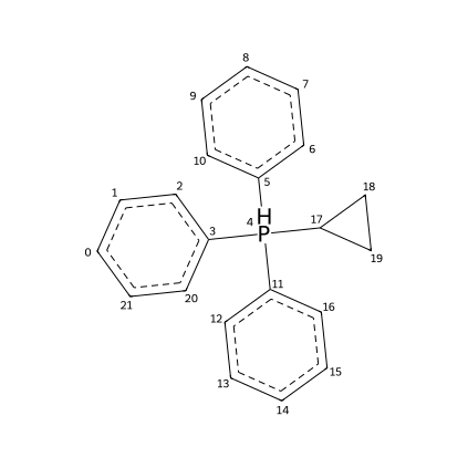 c1ccc([PH](c2ccccc2)(c2ccccc2)C2CC2)cc1